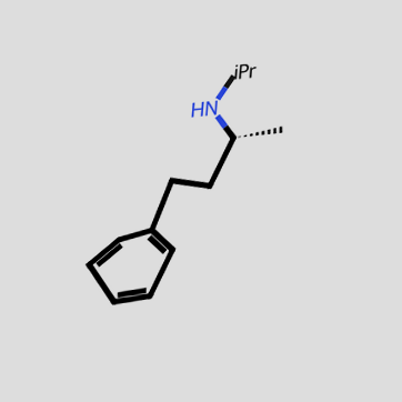 CC(C)N[C@H](C)CCc1ccccc1